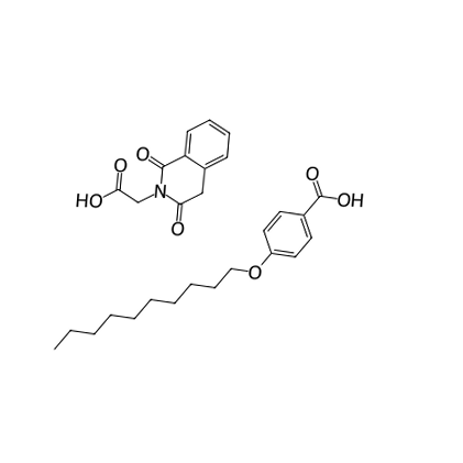 CCCCCCCCCCOc1ccc(C(=O)O)cc1.O=C(O)CN1C(=O)Cc2ccccc2C1=O